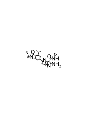 CC(C)c1cc(-c2ccn3nc(N)c(C(=O)NC4CC4)c3n2)cc2c1C(=O)N([C@@H](C)C1CC1)C2